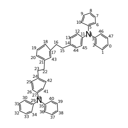 c1ccc(N(c2ccccc2)c2ccc(CCc3cccc(CCc4ccc(N(c5ccccc5)c5ccccc5)cc4)c3)cc2)cc1